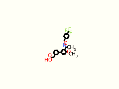 COc1ccc(-c2cccc(CC(=O)O)c2)cc1C(C)=NOCc1ccc(C(F)(F)F)cc1